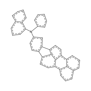 c1ccc(N(c2ccc3c(c2)-c2ccc4c5cccc6cccc(c7ccc-3c2c74)c65)c2cccc3ccccc23)cc1